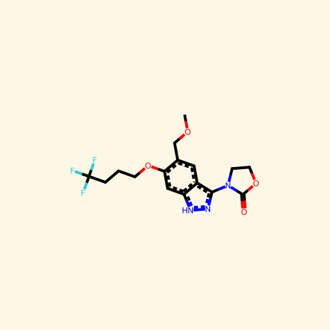 COCc1cc2c(N3CCOC3=O)n[nH]c2cc1OCCCC(F)(F)F